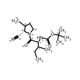 CCC(C)[C@H](NC(=O)OC(C)(C)C)C(=O)N1CCC(C)[C@H]1C#N